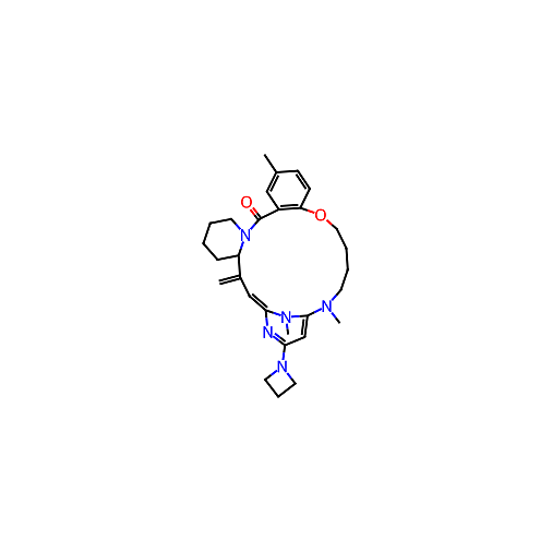 C=C1/C=C2/N=C(N3CCC3)C=C(N(C)CCCCOc3ccc(C)cc3C(=O)N3CCCCC13)N2C